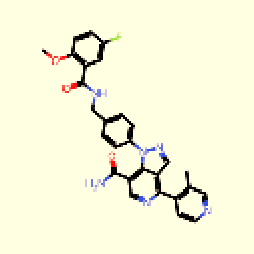 COc1ccc(F)cc1C(=O)NCc1ccc(-n2ncc3c(-c4ccncc4C)ncc(C(N)=O)c32)cc1